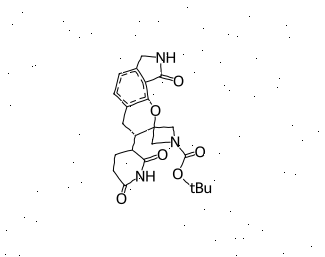 CC(C)(C)OC(=O)N1CC2(C1)Oc1c(ccc3c1C(=O)NC3)CC2C1CCC(=O)NC1=O